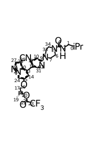 CC(C)CNC(=O)N1CCN(c2ccc(-c3cc(OC[C@@H](C)OC(=O)C(F)(F)F)cn4ncc(C#N)c34)cn2)CC1